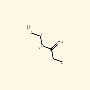 CCOC(=O)CC.[Li]